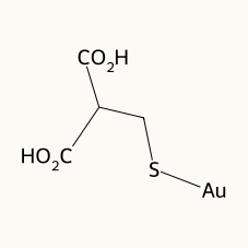 O=C(O)C(C[S][Au])C(=O)O